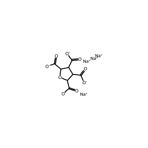 O=C([O-])C1OC(C(=O)[O-])C(C(=O)[O-])C1C(=O)[O-].[Na+].[Na+].[Na+].[Na+]